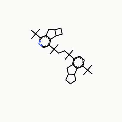 CC(C)(C)c1ccc(C(C)(C)CCC(C)(C)c2cnc(C(C)(C)C)c3c2C2CCC2C3)c2c1C1CCCC1C2